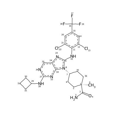 C[C@]1(C(N)=O)CC[C@H](n2c(Nc3c(Cl)cc(C(F)(F)F)cc3Cl)nc3cnc(NC4CCC4)nc32)CC1